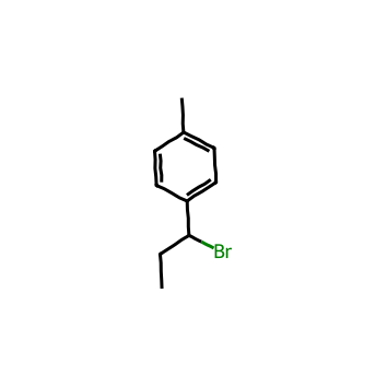 CCC(Br)c1ccc(C)cc1